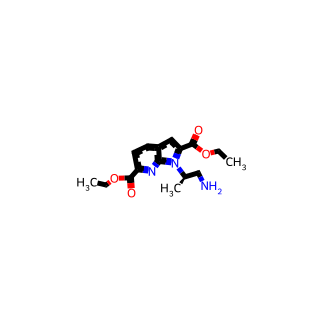 CCOC(=O)c1ccc2cc(C(=O)OCC)n([C@H](C)CN)c2n1